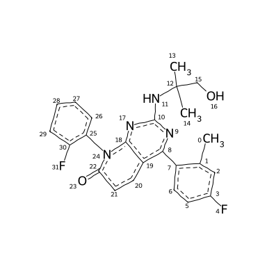 Cc1cc(F)ccc1-c1nc(NC(C)(C)CO)nc2c1ccc(=O)n2-c1ccccc1F